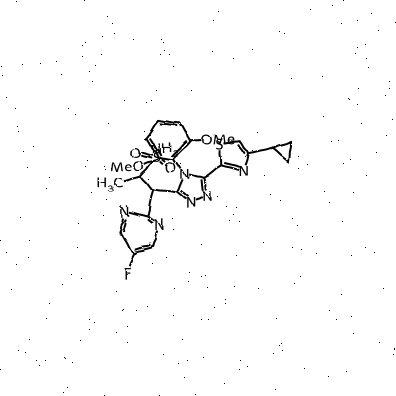 COc1cccc(OC)c1-n1c(-c2nc(C3CC3)cs2)nnc1C(c1ncc(F)cn1)C(C)S(N)(=O)=O